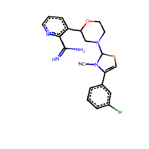 N#CN1C(c2cccc(Br)c2)=CSC1N1CCOC(c2cccnc2C(=N)N)C1